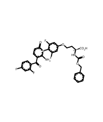 Nc1c(C(=O)c2ccc(F)cc2F)ccc(=O)n1-c1c(F)cc(OCC[C@H](NC(=O)OCc2ccccc2)C(=O)O)cc1F